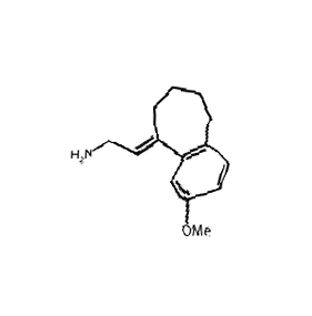 COc1ccc2c(c1)/C(=C/CN)CCCC2